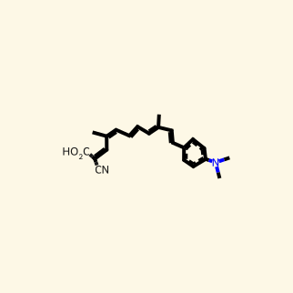 CC(C=Cc1ccc(N(C)C)cc1)=CC=CC=C(C)C=C(C#N)C(=O)O